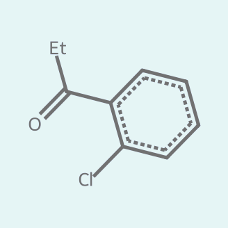 CCC(=O)c1ccccc1Cl